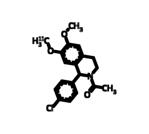 COc1cc2c(cc1O[11CH3])C(c1ccc(Cl)cc1)N(C(C)=O)CC2